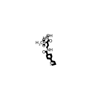 CS(=O)(=O)C(CCNC(=O)c1ccc(-c2cccs2)cc1)C(=O)NO